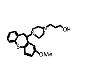 COc1ccc2c(c1)C(N1CCN(CCCO)CC1)Cc1ccccc1S2